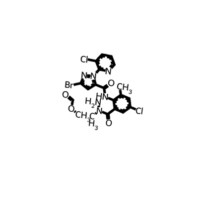 COC=O.Cc1cc(Cl)cc(C(=O)N(C)N)c1NC(=O)c1cc(Br)nn1-c1ncccc1Cl